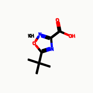 CC(C)(C)c1nc(C(=O)O)no1.[KH]